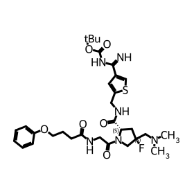 CN(C)C[C@@]1(F)C[C@@H](C(=O)NCc2cc(C(=N)NC(=O)OC(C)(C)C)cs2)N(C(=O)CNC(=O)CCCOc2ccccc2)C1